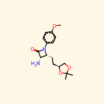 COc1ccc(N2C(=O)[C@@H](N)[C@H]2CC[C@H]2COC(C)(C)O2)cc1